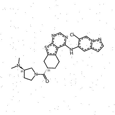 CN(C)[C@@H]1CCN(C(=O)[C@H]2CCc3c(sc4ncnc(Nc5cc6ccnn6cc5Cl)c34)C2)C1